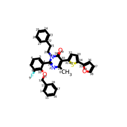 Cc1nc(-c2cccc(F)c2OCc2ccccc2)n(CCc2ccccc2)c(=O)c1-c1ccc(-c2ccco2)s1